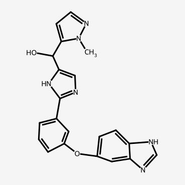 Cn1nccc1C(O)c1cnc(-c2cccc(Oc3ccc4[nH]cnc4c3)c2)[nH]1